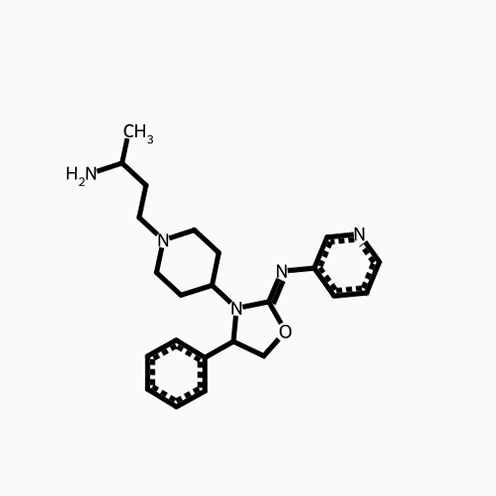 CC(N)CCN1CCC(N2C(=Nc3cccnc3)OCC2c2ccccc2)CC1